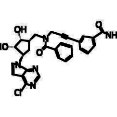 NC(=O)c1cccc(C#CCN(C[C@H]2C[C@@H](n3ccc4c(Cl)ncnc43)[C@H](O)[C@@H]2O)C(=O)c2ccccc2)c1